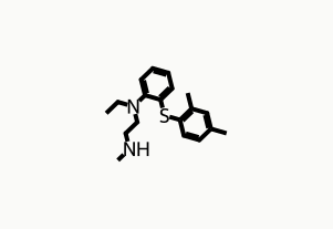 CCN(CCNC)c1ccccc1Sc1ccc(C)cc1C